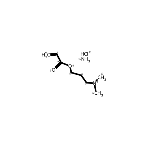 C=CC(=O)OCCCN(C)C.Cl.N